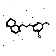 Nc1cc(Cl)nc(SCCc2nccc3c2CCCC3)n1